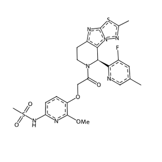 COc1nc(NS(C)(=O)=O)ccc1OCC(=O)N1CCc2nc3sc(C)nn3c2[C@H]1c1ncc(C)cc1F